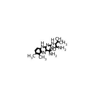 Cc1ccc(N/C(=N/C(=N)N[C@@H](C(N)=O)C(C)C)C(=N)C(N)=O)cc1C